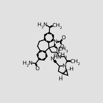 C=C(N)c1ccc2c(c1)CCc1cc(C(N)=O)ccc1C2(C[C@H](C)NCC(=C)N1C(C#N)C[C@@H]2C[C@@H]21)c1nc(=O)on1C